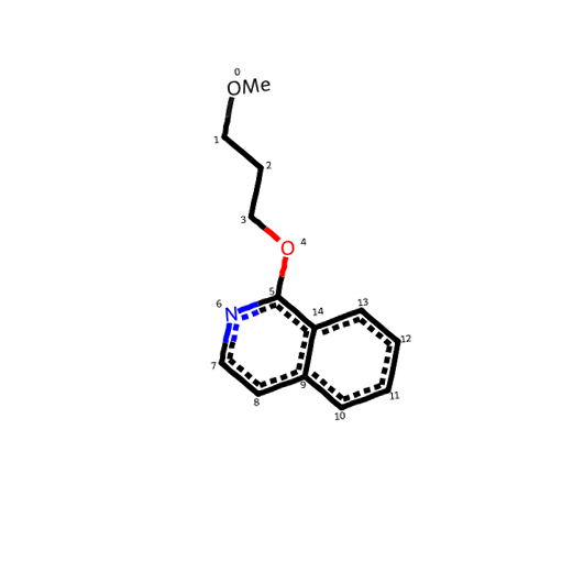 COCCCOc1nccc2ccccc12